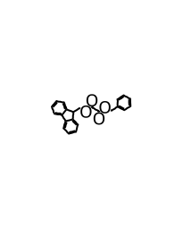 O=C(OCc1ccccc1)C(=O)OCC1c2ccccc2-c2ccccc21